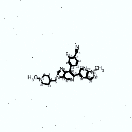 CN1CCC(Cn2cnc3c(-c4ccc(C#N)c(F)c4)c(-c4cnc5c(cnn5C)c4)ncc32)CC1